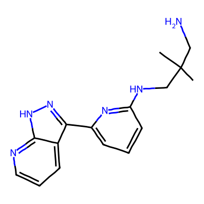 CC(C)(CN)CNc1cccc(-c2n[nH]c3ncccc23)n1